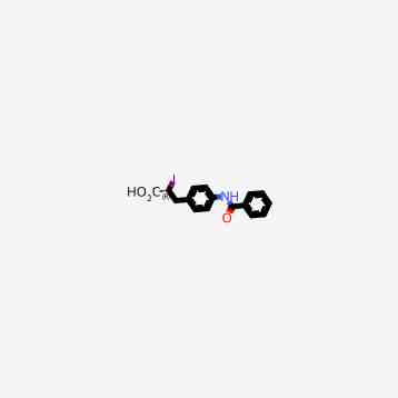 O=C(Nc1ccc(C[C@@H](I)C(=O)O)cc1)c1ccccc1